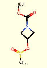 CS(=O)OC1CN(C(=O)OC(C)(C)C)C1